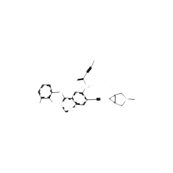 CC#CC(=O)Nc1cc2c(Nc3cccc(Cl)c3F)ncnc2cc1C#C[C@@H]1[C@H]2CN(C)C[C@@H]12